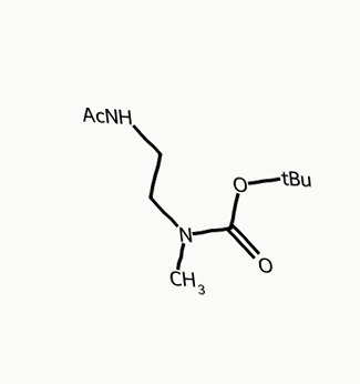 CC(=O)NCCN(C)C(=O)OC(C)(C)C